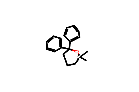 C[Si]1(C)CCCC(c2ccccc2)(c2ccccc2)O1